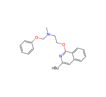 CCCCc1cc2ccccc2c(OCCN(C)COc2ccccc2)n1